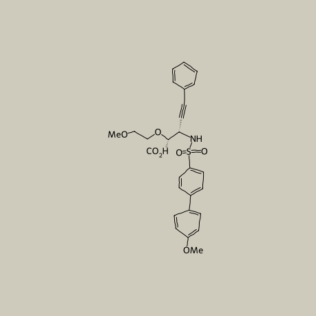 COCCO[C@@H](C(=O)O)[C@H](C#Cc1ccccc1)NS(=O)(=O)c1ccc(-c2ccc(OC)cc2)cc1